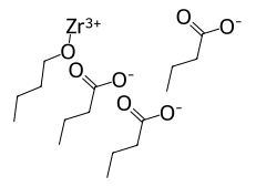 CCCC(=O)[O-].CCCC(=O)[O-].CCCC(=O)[O-].CCCC[O][Zr+3]